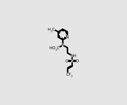 Cc1ccnc(N(CCNS(=O)(=O)C=CC(F)(F)F)C(=O)O)c1